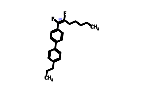 CCCCC/C(F)=C(/F)c1ccc(-c2ccc(CCC)cc2)cc1